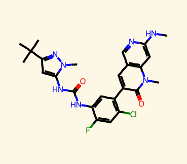 CNc1cc2c(cn1)cc(-c1cc(NC(=O)Nc3cc(C(C)(C)C)nn3C)c(F)cc1Cl)c(=O)n2C